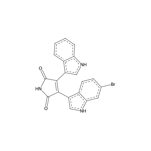 O=C1NC(=O)C(c2c[nH]c3cc(Br)ccc23)=C1c1c[nH]c2ccccc12